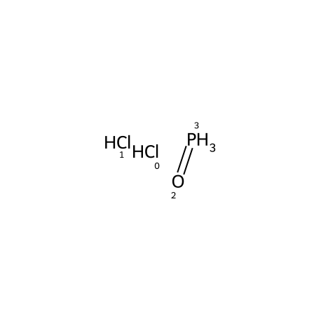 Cl.Cl.O=[PH3]